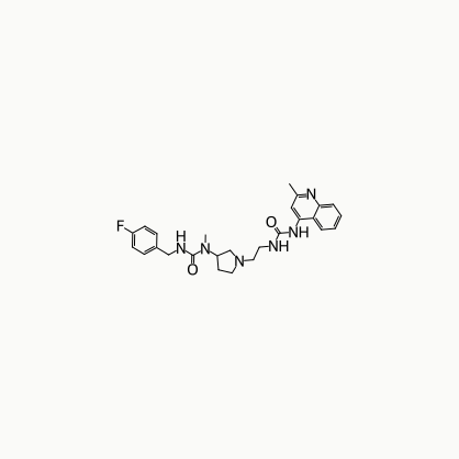 Cc1cc(NC(=O)NCCN2CCC(N(C)C(=O)NCc3ccc(F)cc3)C2)c2ccccc2n1